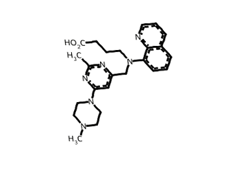 Cc1nc(CN(CCCC(=O)O)c2cccc3cccnc23)cc(N2CCN(C)CC2)n1